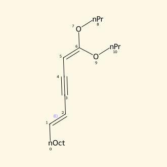 CCCCCCCC/C=C/C#CC=C(OCCC)OCCC